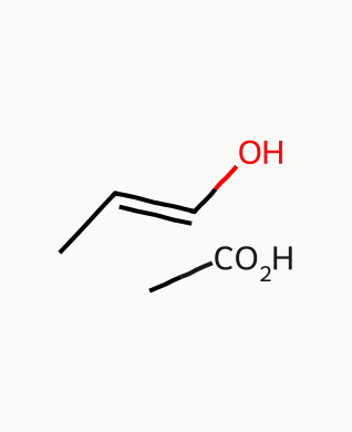 CC(=O)O.CC=CO